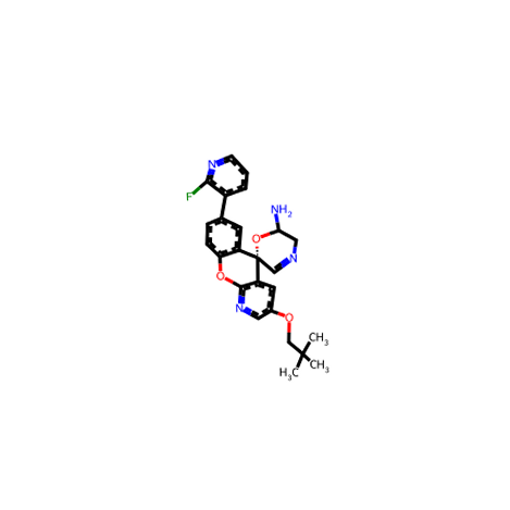 CC(C)(C)COc1cnc2c(c1)[C@]1(C=NCC(N)O1)c1cc(-c3cccnc3F)ccc1O2